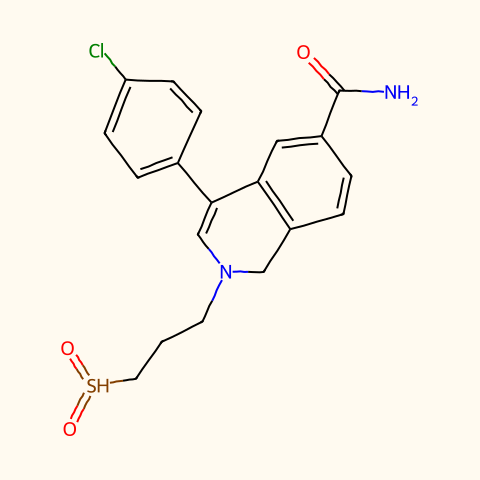 NC(=O)c1ccc2c(c1)C(c1ccc(Cl)cc1)=CN(CCC[SH](=O)=O)C2